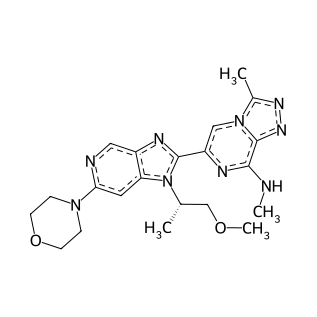 CNc1nc(-c2nc3cnc(N4CCOCC4)cc3n2[C@@H](C)COC)cn2c(C)nnc12